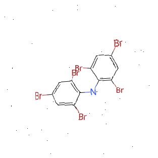 Brc1cc(Br)c([N]c2c(Br)cc(Br)cc2Br)c(Br)c1